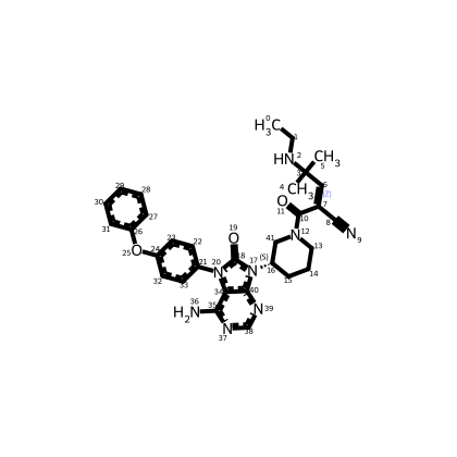 CCNC(C)(C)/C=C(/C#N)C(=O)N1CCC[C@H](n2c(=O)n(-c3ccc(Oc4ccccc4)cc3)c3c(N)ncnc32)C1